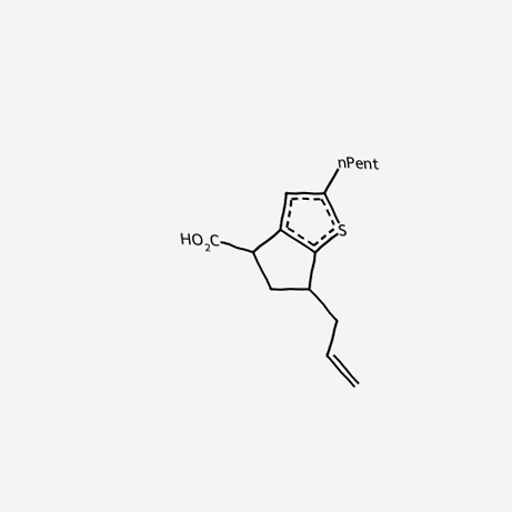 C=CCC1CC(C(=O)O)c2cc(CCCCC)sc21